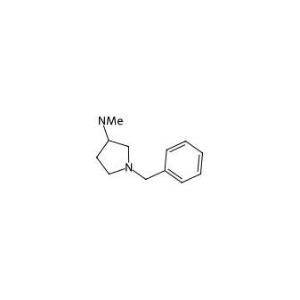 CNC1CCN(Cc2ccccc2)C1